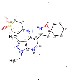 CCn1nc(C)c2c(NC3CCS(=O)(=O)CC3)c(C3=NOC4(CCCCC4)C3)cnc21